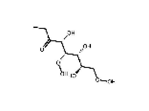 CCC(=O)[C@H](O)[C@@H](OO)[C@H](O)[C@H](O)COO